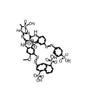 COc1cc(Nc2nc(Nc3ccc(N=Nc4ccc(S(=O)(=O)O)cc4)cc3S(=O)(=O)O)nc(NC(C)S(=O)(=O)O)n2)c(OC)cc1N=Nc1cc(S(=O)(=O)O)c2cccc(S(=O)(=O)O)c2c1